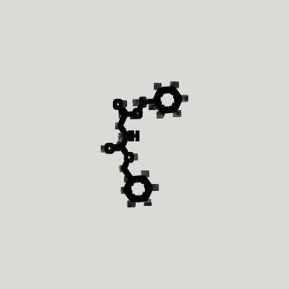 O=C(CNC(=O)OCc1ccccc1)OSc1ccccc1